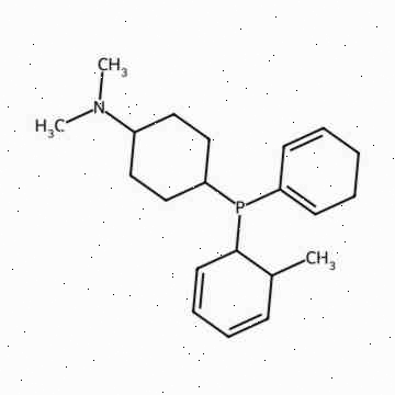 CC1C=CC=CC1P(C1=CCCC=C1)C1CCC(N(C)C)CC1